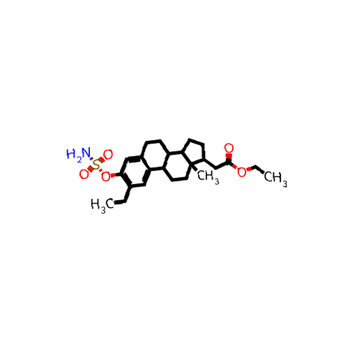 CCOC(=O)CC1CCC2C3CCc4cc(OS(N)(=O)=O)c(CC)cc4C3CCC12C